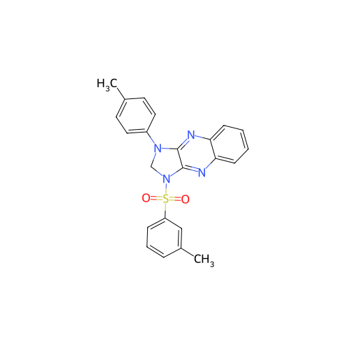 Cc1ccc(N2CN(S(=O)(=O)c3cccc(C)c3)c3nc4ccccc4nc32)cc1